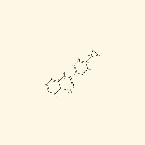 Cc1ncccc1NC(=O)c1cnc(C2CC2)nc1